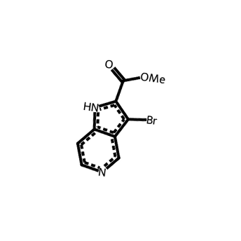 COC(=O)c1[nH]c2ccncc2c1Br